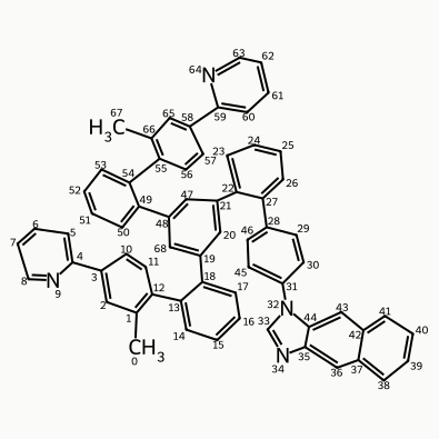 Cc1cc(-c2ccccn2)ccc1-c1ccccc1-c1cc(-c2ccccc2-c2ccc(-n3cnc4cc5ccccc5cc43)cc2)cc(-c2ccccc2-c2ccc(-c3ccccn3)cc2C)c1